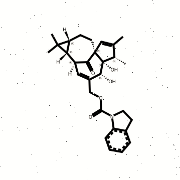 CC1=C[C@@]23CC[C@@H]4[C@H]([C@H](C=C(COC(=O)N5CCc6ccccc65)[C@@H](O)[C@]2(O)[C@H]1C)C3=O)C4(C)C